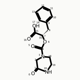 O=C1CN(C(=O)O[C@@H](Cc2ccccc2)C(=O)O)CCN1